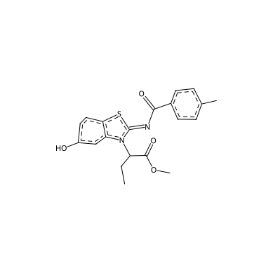 CCC(C(=O)OC)n1c(=NC(=O)c2ccc(C)cc2)sc2ccc(O)cc21